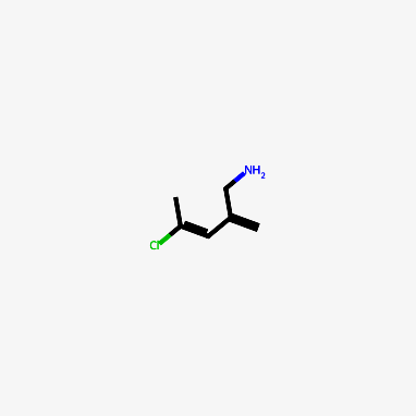 C=C(/C=C(\C)Cl)CN